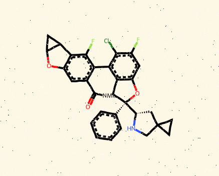 CNC(=O)c1cc2c(c(F)c1-c1c(Cl)c(F)cc3c1C[C@](c1ccccc1)([C@@H]1CC4(CC4)CN1)O3)C1CC1O2